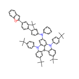 CC(C)(C)c1ccc(N2c3ccc(C(C)(C)C)cc3B3c4cc(C(C)(C)C)ccc4N(c4ccc(C(C)(C)C)cc4)c4cc(N(c5ccccc5)c5ccc6c(c5)C(C)(C)c5cc(-c7cc8ccccc8o7)ccc5-6)cc2c43)cc1